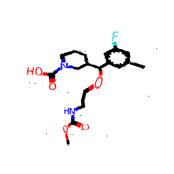 COC(=O)NCCOC(c1cc(C)cc(F)c1)C1CCCN(C(=O)O)C1